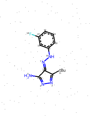 CC(C)(C)C1=NN=C(N)/C1=N/Nc1cccc(F)c1